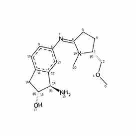 COC[C@H]1CCC(=Nc2ccc3c(c2)[C@@H](N)[C@H](O)C3)N1C